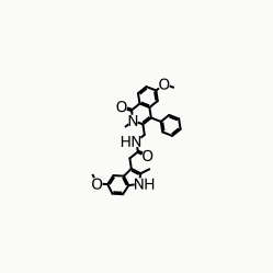 COc1ccc2[nH]c(C)c(CC(=O)NCc3c(-c4ccccc4)c4cc(OC)ccc4c(=O)n3C)c2c1